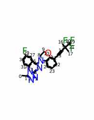 Cc1nnc2nc(N3CCOc4c(C#CC(C)(C)C(F)(F)F)cccc43)c3cc(F)ccc3n12